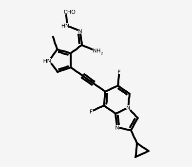 Cc1[nH]cc(C#Cc2c(F)cn3cc(C4CC4)nc3c2F)c1/C(N)=N\NC=O